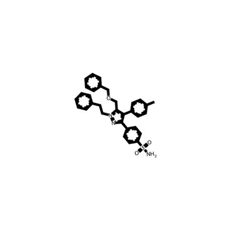 Cc1ccc(-c2c(-c3ccc(S(N)(=O)=O)cc3)nn(CCc3ccccc3)c2COCc2ccccc2)cc1